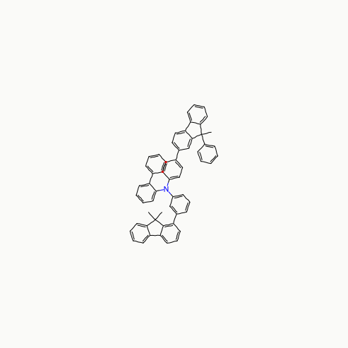 CC1(C)c2ccccc2-c2cccc(-c3cccc(N(c4ccc(-c5ccc6c(c5)C(C)(c5ccccc5)c5ccccc5-6)cc4)c4ccccc4-c4ccccc4)c3)c21